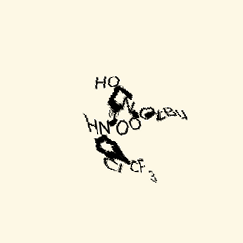 CC(C)(C)OC(=O)N1C[C@@H](O)C[C@@H]1C(=O)Nc1ccc(Cl)c(C(F)(F)F)c1